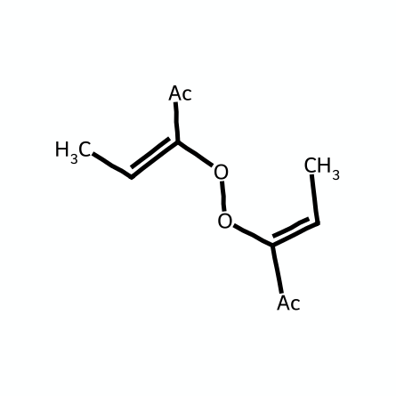 CC=C(OOC(=CC)C(C)=O)C(C)=O